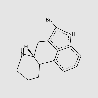 Brc1[nH]c2cccc3c2c1C[C@H]1NCCCC31